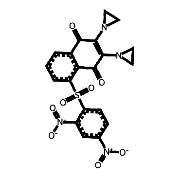 O=C1C(N2CC2)=C(N2CC2)C(=O)c2c1cccc2S(=O)(=O)c1ccc([N+](=O)[O-])cc1[N+](=O)[O-]